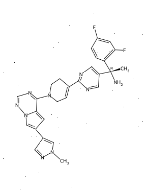 Cn1cc(-c2cc3c(N4CC=C(c5ncc([C@@](C)(N)c6ccc(F)cc6F)cn5)CC4)ncnn3c2)cn1